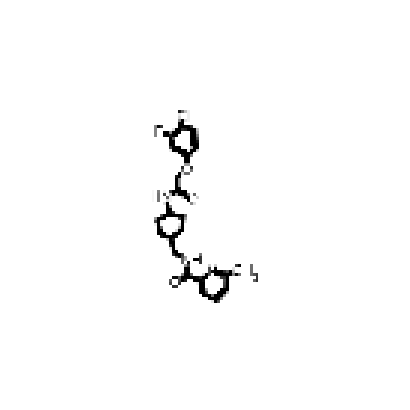 Cc1cccc(C(=O)NCC2CCC(NC(=O)COc3ccc(Cl)c(F)c3)CC2)n1